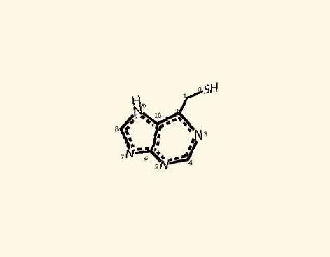 SCc1ncnc2nc[nH]c12